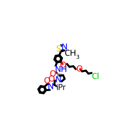 Cc1ncsc1-c1ccc(CNC(=O)[C@@H]2CCCN2C(=O)C(C(C)C)N2Cc3ccccc3C2=O)c(OCCCCOCCCCCl)c1